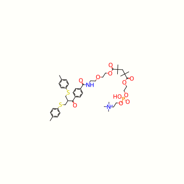 Cc1ccc(SCC(CSc2ccc(C)cc2)C(=O)c2ccc(C(=O)NCCOCCOC(=O)C(C)(C)CC(C)(C)C(=O)OCCOP(=O)(O)OCC[N+](C)(C)C)cc2)cc1